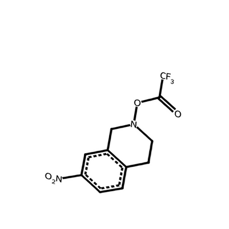 O=C(ON1CCc2ccc([N+](=O)[O-])cc2C1)C(F)(F)F